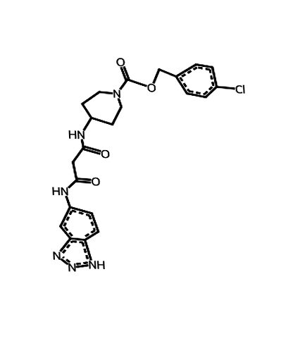 O=C(CC(=O)NC1CCN(C(=O)OCc2ccc(Cl)cc2)CC1)Nc1ccc2[nH]nnc2c1